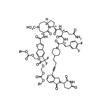 CC(C)OC(=O)OCOP(=O)(OCOC(=O)OC(C)C)C(F)(F)c1ccc2sc(C(=O)N[C@H]3CN(C(=O)O)CC[C@H]4CC[C@@H](C(=O)N[C@@H](CCC(N)=O)C(=O)N[C@@H](Cc5ccc(F)c(F)c5)C(=O)N5CCC(CCC#Cc6cccc7c6CN(C6CCC(=O)NC6=O)C7=O)CC5)N4C3=O)cc2c1